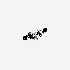 Cl.Cl.N[C@@H](CSSC[C@H](N)C(=O)OCc1ccccc1)C(=O)OCc1ccccc1